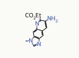 CCOC(=O)c1nc2cc3c(cc2cc1N)ncn3C